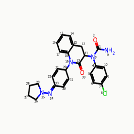 NC(=O)N(c1ccc(Cl)cc1)C1Cc2ccccc2N(C2C=CC(=NN3CCCC3)C=C2)C1=O